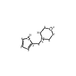 [c]1ccc(CN2CCOCC2)s1